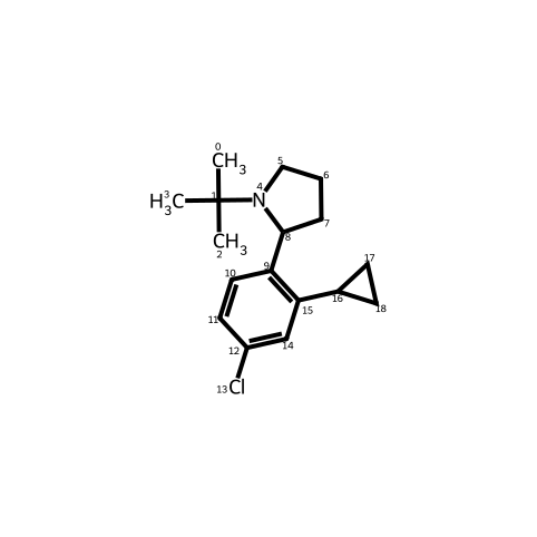 CC(C)(C)N1CCCC1c1ccc(Cl)cc1C1CC1